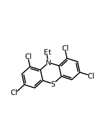 CCN1c2c(Cl)cc(Cl)cc2Sc2cc(Cl)cc(Cl)c21